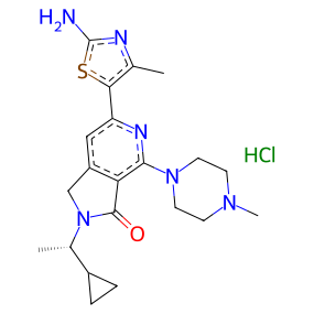 Cc1nc(N)sc1-c1cc2c(c(N3CCN(C)CC3)n1)C(=O)N([C@@H](C)C1CC1)C2.Cl